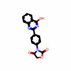 O=C1COC(=O)N1c1ccc(-c2nc(O)c3ccccc3n2)cc1